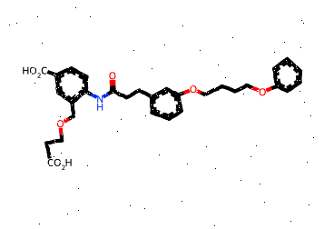 O=C(O)CCOCc1cc(C(=O)O)ccc1NC(=O)CCc1cccc(OCCCCOc2ccccc2)c1